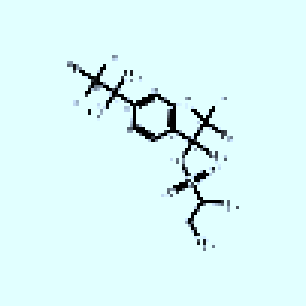 CCC(C)S(=O)(=O)OC(C)(c1ccc(C(C)(C)C(F)(F)F)cc1)C(F)(F)F